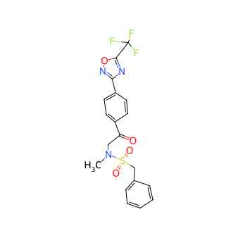 CN(CC(=O)c1ccc(-c2noc(C(F)(F)F)n2)cc1)S(=O)(=O)Cc1ccccc1